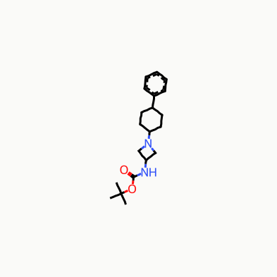 CC(C)(C)OC(=O)NC1CN(C2CCC(c3ccccc3)CC2)C1